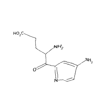 Nc1ccnc(C(=O)C(N)CCC(=O)O)c1